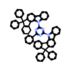 C1=CC2=C(CC1)c1c(ccc3c4ccccc4n(-c4nc(-c5ccccc5)nc(-n5c6ccccc6c6ccc7c(c65)-c5ccccc5C7(c5ccccc5)c5ccccc5)n4)c13)C2(c1ccccc1)c1ccccc1